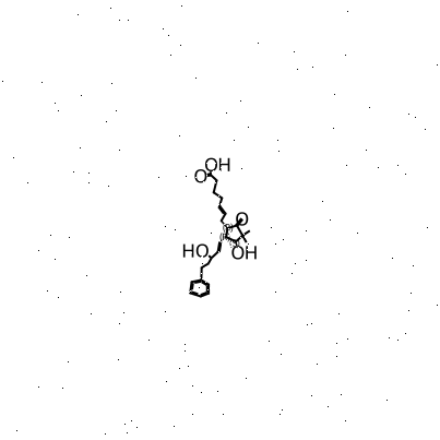 CC1(C)C(=O)[C@H](CC=CCCCC(=O)O)[C@@H](C=CC(O)CCc2ccccc2)[C@@H]1O